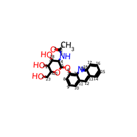 CC(=O)NC1C(Oc2cccc3cc4c#cccc4nc23)OC(CO)C(O)C1O